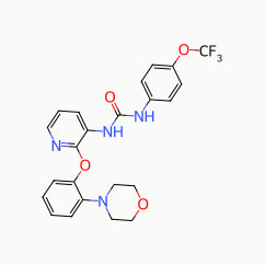 O=C(Nc1ccc(OC(F)(F)F)cc1)Nc1cccnc1Oc1ccccc1N1CCOCC1